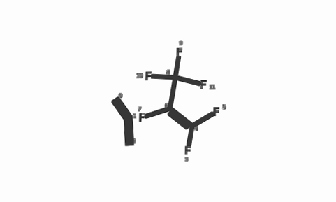 C=C=C.FC(F)=C(F)C(F)(F)F